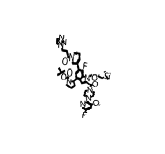 COc1cc(F)cnc1N1CCN(C(=O)c2cc3c(C4CCCN4C(=O)OC(C)(C)C)cc(C4=CCCN(C(=O)CCn5ccnn5)C4)c(F)c3n2COCC[Si](C)(C)C)CC1